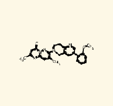 COc1ccccc1-c1cnc2c(c1)CN(c1nn3c(=O)cc(C)nc3cc1C)CC2